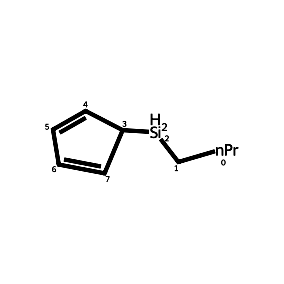 CCCC[SiH2]C1C=CC=C1